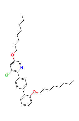 CCCCCCCCOc1cnc(-c2ccc(-c3ccccc3OCCCCCCCC)cc2)c(Cl)c1